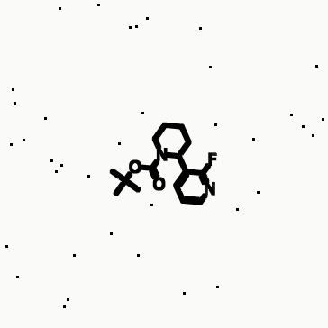 CC(C)(C)OC(=O)N1CCCCC1c1cccnc1F